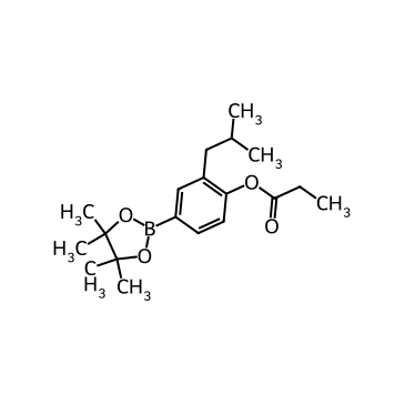 CCC(=O)Oc1ccc(B2OC(C)(C)C(C)(C)O2)cc1CC(C)C